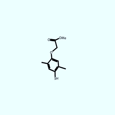 COC(=O)COc1cc(C)c(S)cc1C